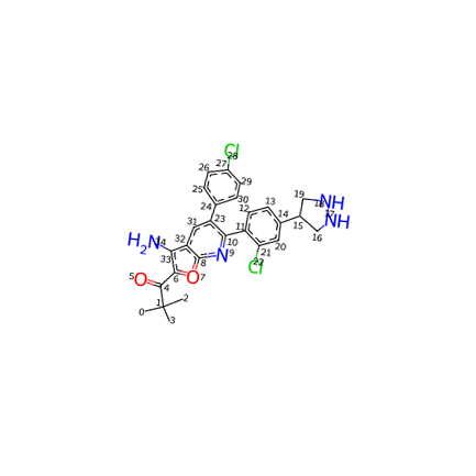 CC(C)(C)C(=O)c1oc2nc(-c3ccc(C4CNNC4)cc3Cl)c(-c3ccc(Cl)cc3)cc2c1N